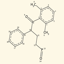 Cc1cccc(C)c1C(=O)C(CCP=O)c1ccccc1